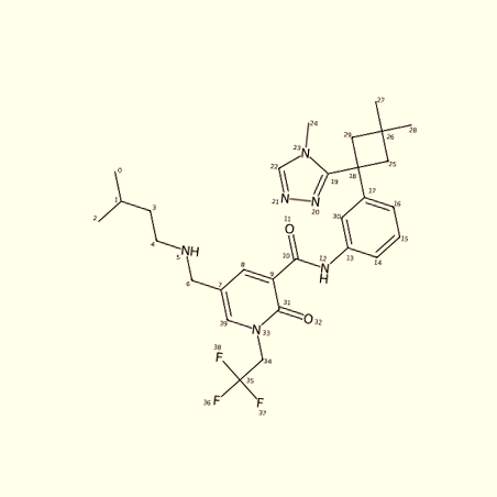 CC(C)CCNCc1cc(C(=O)Nc2cccc(C3(c4nncn4C)CC(C)(C)C3)c2)c(=O)n(CC(F)(F)F)c1